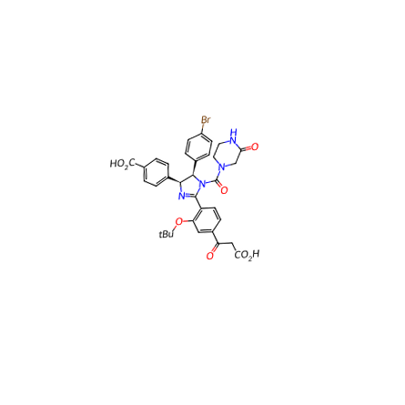 CC(C)(C)Oc1cc(C(=O)CC(=O)O)ccc1C1=N[C@@H](c2ccc(C(=O)O)cc2)[C@@H](c2ccc(Br)cc2)N1C(=O)N1CCNC(=O)C1